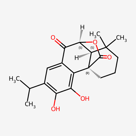 CC(C)c1cc2c(c(O)c1O)[C@@]13CCCC(C)(C)[C@@H]1[C@H](OC3=O)C2=O